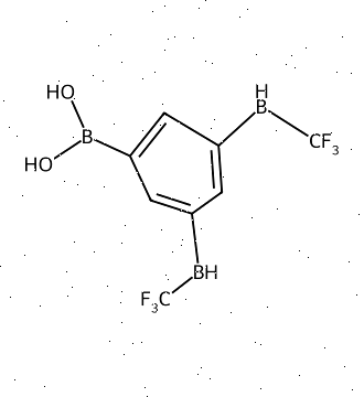 OB(O)c1cc(BC(F)(F)F)cc(BC(F)(F)F)c1